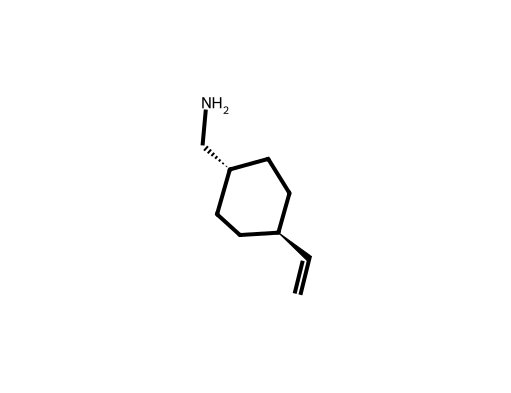 C=C[C@H]1CC[C@H](CN)CC1